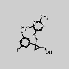 Cc1ncc(OC[C@@]2(c3cc(F)cc(F)c3)C[C@H]2CO)c(C)n1